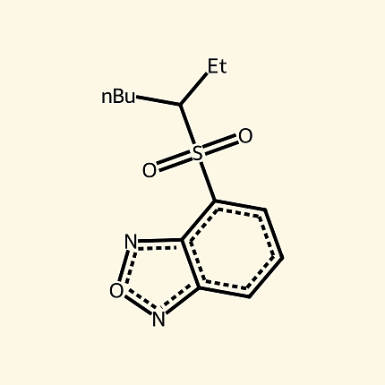 CCCCC(CC)S(=O)(=O)c1cccc2nonc12